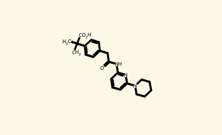 CC(C)(C(=O)O)c1ccc(CC(=O)Nc2cccc(N3CCCCC3)n2)cc1